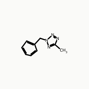 Cc1nnn(Cc2ccccc2)n1